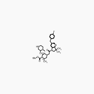 CC1CNCCN1C[C@H]1CN(C(=O)OC(C)(C)C)[C@H](C)CN1CC(=O)N1CC(C)(C)c2ncc(Cc3ccc(F)cc3)cc21